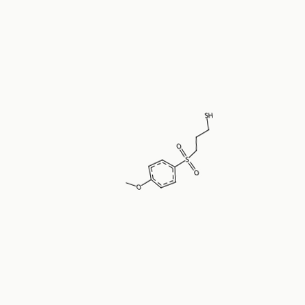 COc1ccc(S(=O)(=O)CCCS)cc1